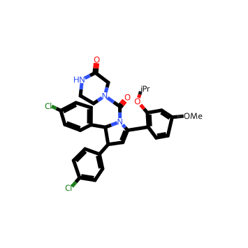 COc1ccc(C2=CC(c3ccc(Cl)cc3)C(c3ccc(Cl)cc3)N2C(=O)N2CCNC(=O)C2)c(OC(C)C)c1